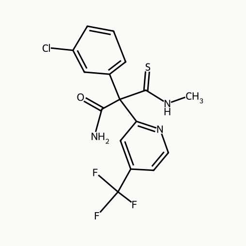 CNC(=S)C(C(N)=O)(c1cccc(Cl)c1)c1cc(C(F)(F)F)ccn1